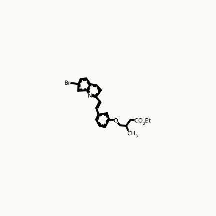 CCOC(=O)CC(C)COc1cccc(C=Cc2ccc3ccc(Br)cc3n2)c1